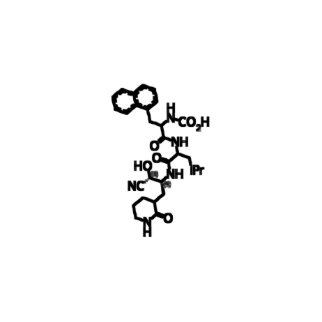 CC(C)CC(NC(=O)C(Cc1cccc2ccccc12)NC(=O)O)C(=O)N[C@@H](CC1CCCNC1=O)[C@@H](O)C#N